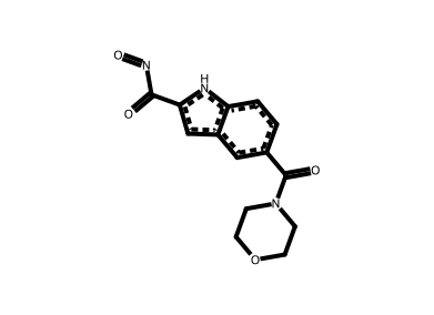 O=NC(=O)c1cc2cc(C(=O)N3CCOCC3)ccc2[nH]1